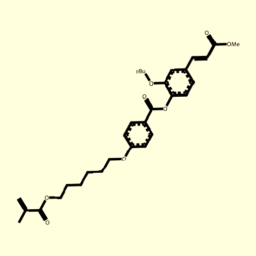 C=C(C)C(=O)OCCCCCCOc1ccc(C(=O)Oc2ccc(/C=C/C(=O)OC)cc2OCCCC)cc1